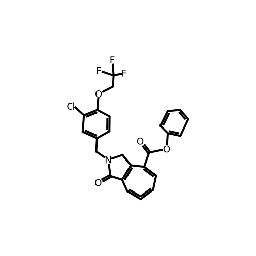 O=C(Oc1ccccc1)C1=CC=C=CC2=C1CN(Cc1ccc(OCC(F)(F)F)c(Cl)c1)C2=O